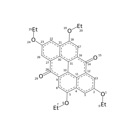 CCOc1cc2c(OCC)cc3c4c2c(c1)c(=O)c1cc(OCC)c2cc(OCC)cc(c3=O)c2c1-4